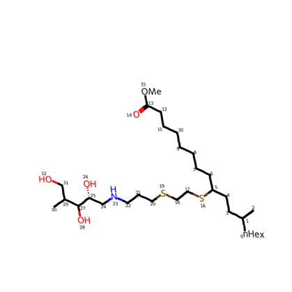 CCCCCCC(C)CCC(CCCCCCCC(=O)OC)SCCSCCCNC[C@@H](O)C(O)C(C)CO